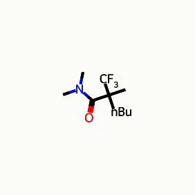 CCCCC(C)(C(=O)N(C)C)C(F)(F)F